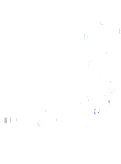 CC1CCC(COc2ccc3nc(C(F)(F)Oc4ccc(-c5cc(F)c(F)c(F)c5)c(F)c4)sc3c2)OC1